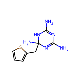 NC1=NC(N)(Cc2cccs2)NC(N)=N1